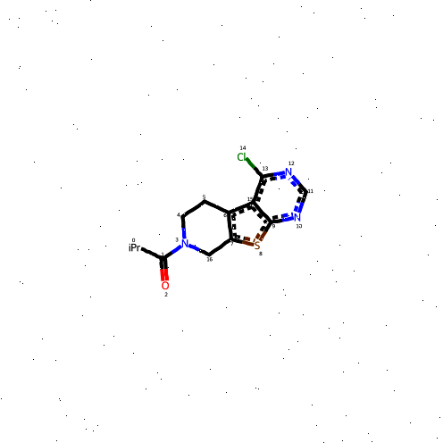 CC(C)C(=O)N1CCc2c(sc3ncnc(Cl)c23)C1